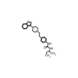 CCC(C)NC(=O)Nc1ccc(CCN2CCN(c3nsc4ccccc34)CC2)cc1